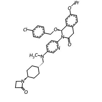 CC(C)Oc1ccc2c(c1)[C@H](OCc1ccc(Cl)cc1)N(c1ccc(N(C)C[C@H]3CC[C@H](N4CCC4=O)CC3)cn1)C(=O)C2